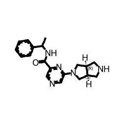 CC(NC(=O)c1cncc(N2C[C@H]3CNC[C@H]3C2)n1)c1ccccc1